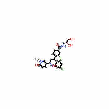 Cn1cc(/C(CC(c2ccc(C(=O)NC[C@@H](O)CO)cc2)c2ccc(Cl)cc2F)=N/O)ccc1=O